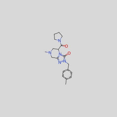 Cc1ccc(Cn2nc3n(c2=O)C(C(=O)N2CCCC2)CN(C)C3)cc1